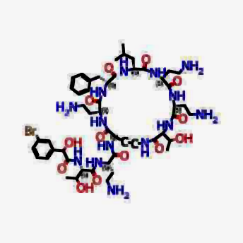 CC(C)C[C@@H]1NC(=O)[C@@H](Cc2ccccc2)NC(=O)[C@H](CCN)NC(=O)[C@@H](NC(=O)[C@H](CCN)NC(=O)[C@@H](NC(=O)C(O)c2cccc(Br)c2)C(C)O)CCNC(=O)C(C(C)O)NC(=O)[C@H](CCN)NC(=O)[C@H](CCN)NC1=O